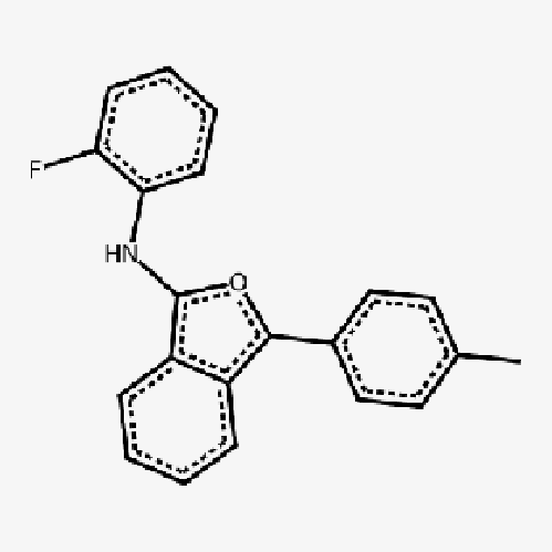 Cc1ccc(-c2oc(Nc3ccccc3F)c3ccccc23)cc1